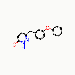 O=c1ccc(Cc2cccc(Oc3ccccc3)c2)n[nH]1